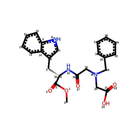 COC(=O)[C@H](Cc1c[nH]c2ccccc12)NC(=O)CN(CC(=O)O)Cc1ccccc1